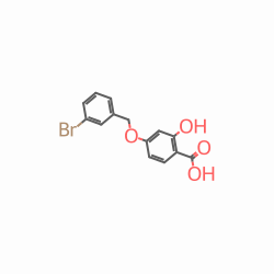 O=C(O)c1ccc(OCc2cccc(Br)c2)cc1O